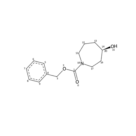 O=C(OCc1ccccc1)N1CCC[C@@H](O)CC1